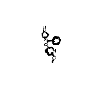 COc1ccc(OC(c2ccccc2)[C@@H]2CCNC2)cn1